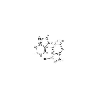 O.On1nnc2ccccc21.c1ccc2[nH]nnc2c1